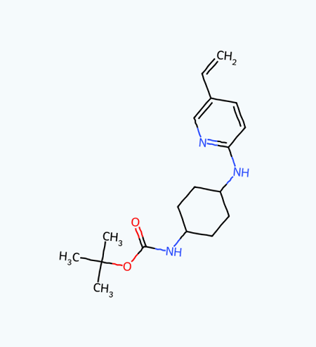 C=Cc1ccc(NC2CCC(NC(=O)OC(C)(C)C)CC2)nc1